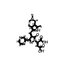 Cc1[nH]c(C=C2C(=O)N(/C(=C/C(=O)O)C(=O)O)N=C2c2cnccn2)c(C)c1CN(C)C